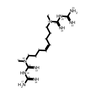 CN(CCC/C=C\CCCN(C)C(=N)NC(=N)N)C(=N)NC(=N)N